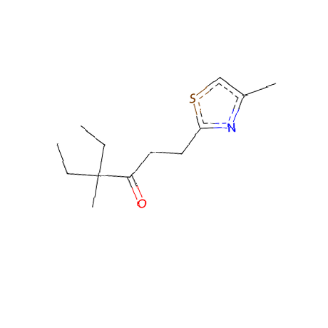 CCC(C)(CC)C(=O)CCc1nc(C)cs1